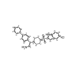 NN=C(c1ncc(-c2ccncc2)cn1)N1CCN(S(=O)(=O)c2cc3cc(Cl)ccc3[nH]2)CC1